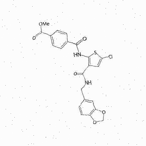 COC(=O)c1ccc(C(=O)Nc2sc(Cl)cc2C(=O)NCc2ccc3c(c2)OCO3)cc1